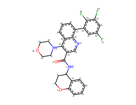 O=C(NC1CCOc2ccccc21)c1cnc2c(-c3cc(F)cc(F)c3F)cccc2c1N1CCOCC1